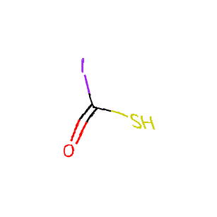 O=C(S)I